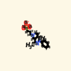 CC(=NN(C)c1ccccc1)c1ccc[n+](CCCS(=O)(=O)[O-])c1